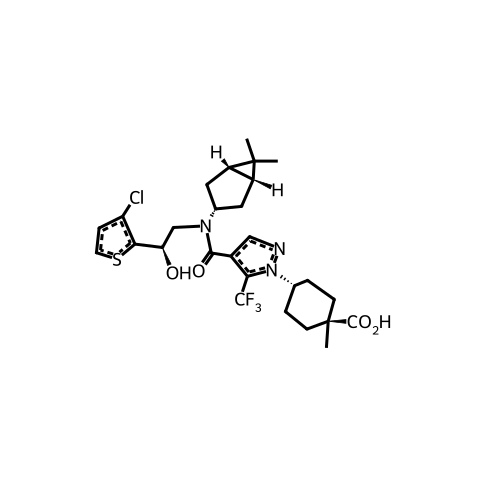 CC1(C)[C@@H]2C[C@H](N(C[C@@H](O)c3sccc3Cl)C(=O)c3cnn([C@H]4CC[C@](C)(C(=O)O)CC4)c3C(F)(F)F)C[C@@H]21